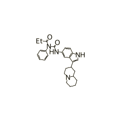 CCC(=O)N(C(=O)Nc1ccc2[nH]cc(C3CCN4CCCCC4C3)c2c1)c1ccccc1